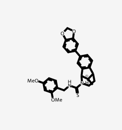 COc1ccc(CNC(=S)N2CCC3c4ccc(-c5ccc6c(c5)OCO6)cc4C2[C@H]3C)c(OC)c1